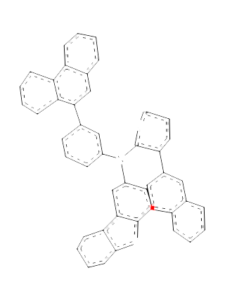 c1cc(-c2cc3ccccc3c3ccccc23)cc(N(c2ccc3sc4ccccc4c3c2)c2ccccc2-c2ccc3ccccc3c2)c1